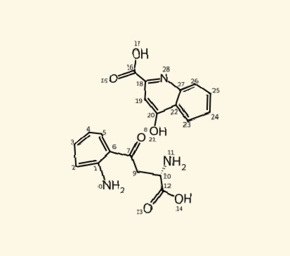 Nc1ccccc1C(=O)C[C@H](N)C(=O)O.O=C(O)c1cc(O)c2ccccc2n1